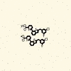 COC(=O)c1cccc(-c2cccc3cc(Cc4cc(F)cc(Cl)c4)sc23)n1.O=C(O)c1cccc(-c2cccc3cc(Cc4cc(F)cc(Cl)c4)sc23)n1